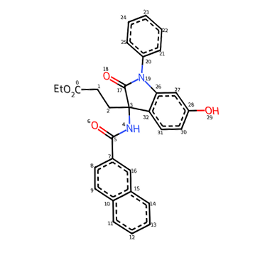 CCOC(=O)CCC1(NC(=O)c2ccc3ccccc3c2)C(=O)N(c2ccccc2)c2cc(O)ccc21